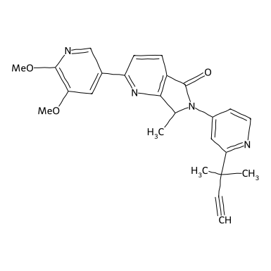 C#CC(C)(C)c1cc(N2C(=O)c3ccc(-c4cnc(OC)c(OC)c4)nc3C2C)ccn1